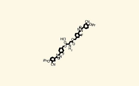 CC(C)Oc1ccc(-c2nc(-c3ccc(COC(=O)C[C@H](N)C(=O)OCc4ccc(-c5noc(-c6ccc(OC(C)C)c(C#N)c6)n5)c(F)c4)cc3F)no2)cc1C#N.Cl